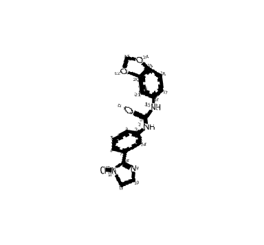 O=C(Nc1cccc(C2=NCCN2Cl)c1)Nc1ccc2c(c1)OCO2